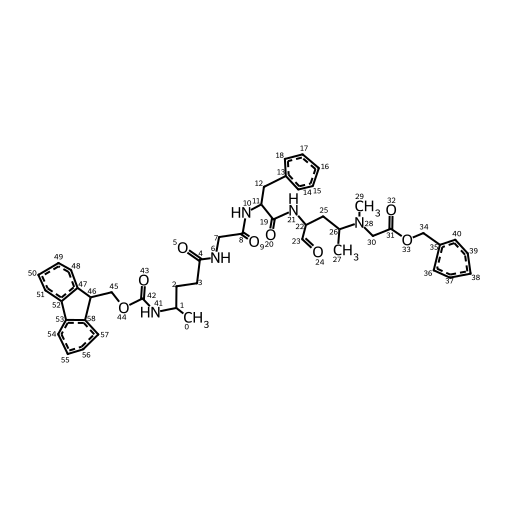 CC(CCC(=O)NCC(=O)NC(Cc1ccccc1)C(=O)NC(C=O)CC(C)N(C)CC(=O)OCc1ccccc1)NC(=O)OCC1c2ccccc2-c2ccccc21